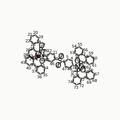 C=P1(N(c2ccc(S(=O)(=O)c3ccc(N(P4(=C)Oc5ccccc5-c5ccccc54)P4(=C)Oc5ccccc5-c5ccccc54)cc3)cc2)P2(=C)Oc3ccccc3-c3ccccc32)Oc2ccccc2-c2ccccc21